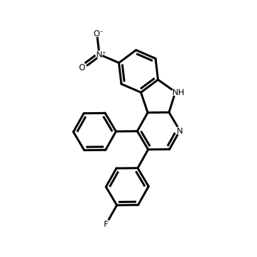 O=[N+]([O-])c1ccc2c(c1)C1C(c3ccccc3)=C(c3ccc(F)cc3)C=NC1N2